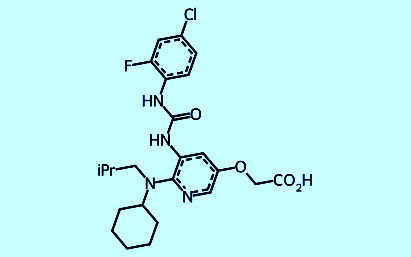 CC(C)CN(c1ncc(OCC(=O)O)cc1NC(=O)Nc1ccc(Cl)cc1F)C1CCCCC1